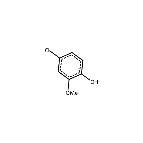 COc1cc(Cl)ccc1O